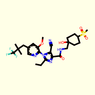 CCc1nc(C(=O)NCC2(O)CCC(S(C)(=O)=O)CC2)c(C#N)n1-c1ncc(CC(C)(C)C(F)(F)F)cc1OC